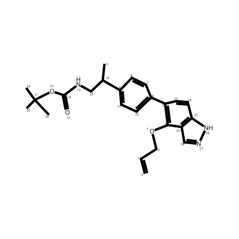 C=CCOc1c(-c2ccc(C(C)CNC(=O)OC(C)(C)C)cc2)ccc2[nH]ncc12